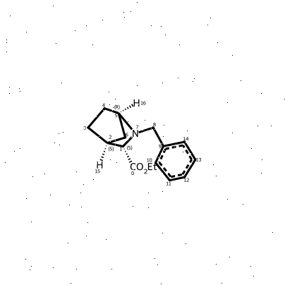 CCOC(=O)[C@@H]1[C@H]2CC[C@H](C2)N1Cc1ccccc1